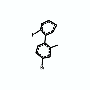 Cc1cc(Br)ccc1-c1ccccc1F